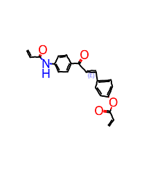 C=CC(=O)Nc1ccc(C(=O)/C=C/c2ccc(OC(=O)C=C)cc2)cc1